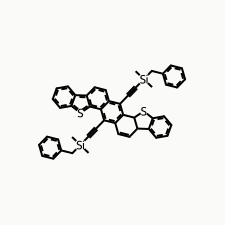 C[Si](C)(C#Cc1c2c(c(C#C[Si](C)(C)Cc3ccccc3)c3c1ccc1c4ccccc4sc13)C=CC1c3ccccc3SC21)Cc1ccccc1